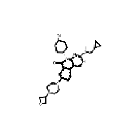 O=c1c2cc(N3CCN(C4COC4)CC3)ccc2c2cnc(NCC3CC3)nc2n1[C@H]1CC[C@H](O)CC1